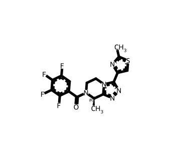 Cc1nc(-c2nnc3n2CCN(C(=O)c2cc(F)c(F)c(F)c2F)[C@@H]3C)cs1